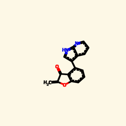 C=C1Oc2cccc(-c3c[nH]c4ncccc34)c2C1=O